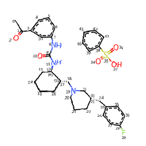 CC(=O)c1cccc(NC(=O)N[C@@H]2CCCC[C@H]2CN2CCC[C@@H](Cc3ccc(F)cc3)C2)c1.O=S(=O)(O)c1ccccc1